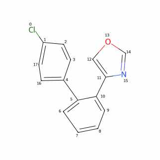 Clc1ccc(-c2ccccc2-c2cocn2)cc1